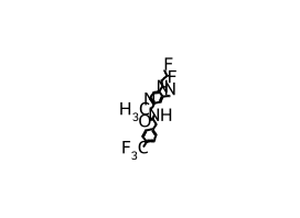 CC(NC(=O)Cc1ccc(C(F)(F)F)cc1)c1cc2cnn(CC(F)CF)c2cn1